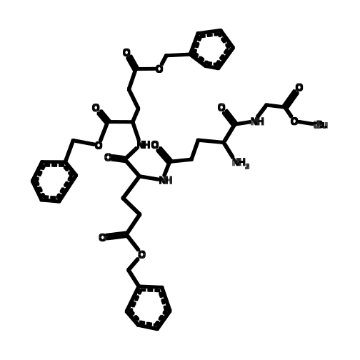 CC(C)(C)OC(=O)CNC(=O)C(N)CCC(=O)NC(CCC(=O)OCc1ccccc1)C(=O)NC(CCC(=O)OCc1ccccc1)C(=O)OCc1ccccc1